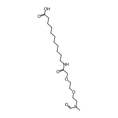 CN(C=O)CCOCCOCC(=O)NCCCCCCCCCCC(=O)O